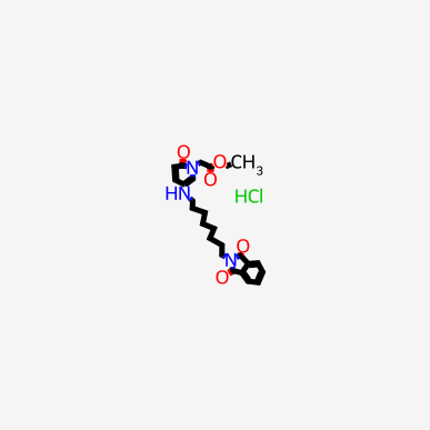 CCOC(=O)Cn1cc(NCCCCCCCCN2C(=O)c3ccccc3C2=O)ccc1=O.Cl